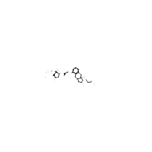 CCCCC[C@@H](O)CC[C@@H]1[C@H]2Cc3cccc(OCC(=O)O[C@@H]4C[C@@H](C)C(C)(C)C4(C)C)c3C[C@H]2C[C@H]1O